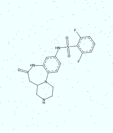 O=C1CC2CNCCN2c2ccc(NS(=O)(=O)c3c(F)cccc3F)cc2N1